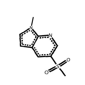 Cn1ccc2cc(S(C)(=O)=O)cnc21